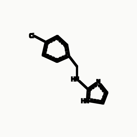 Clc1ccc(CNc2ncc[nH]2)cc1